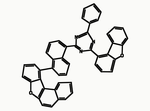 c1ccc(-c2nc(-c3cccc4c(-c5cccc6oc7ccc8ccccc8c7c56)cccc34)nc(-c3cccc4oc5ccccc5c34)n2)cc1